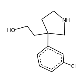 OCCC1(c2cccc(Cl)c2)CCNC1